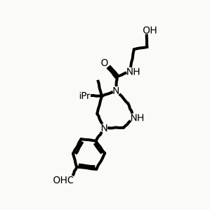 CC(C)C1(C)CN(c2ccc(C=O)cc2)CNCN1C(=O)NCCO